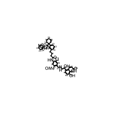 COc1cc(NC(=O)CCCc2cccc(C3(C(=O)O[C@H]4CN5CCC4CC5)CCCCC3)c2)c(Cl)cc1CNC[C@@H](O)c1ccc(O)c2[nH]c(=O)ccc12